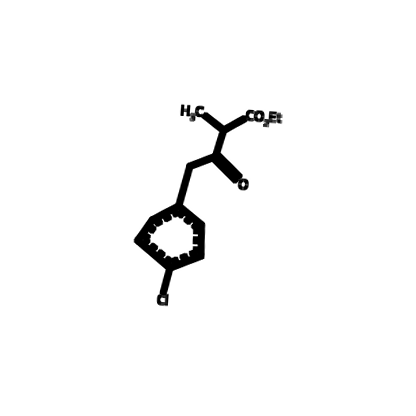 CCOC(=O)C(C)C(=O)Cc1ccc(Cl)cc1